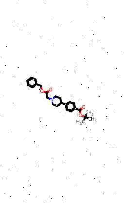 CC(C)(C)OC(=O)c1ccc(C2CCN(CC(=O)OCc3ccccc3)CC2)cc1